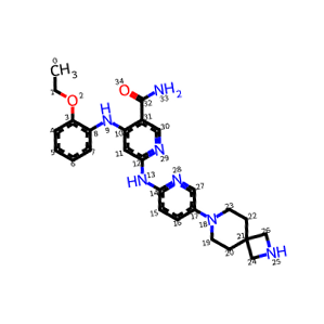 CCOc1ccccc1Nc1cc(Nc2ccc(N3CCC4(CC3)CNC4)cn2)ncc1C(N)=O